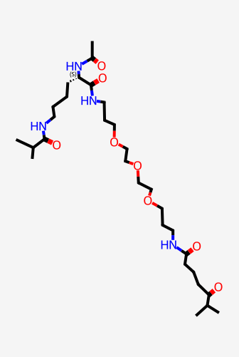 CC(=O)N[C@@H](CCCCNC(=O)C(C)C)C(=O)NCCCOCCOCCOCCCNC(=O)CCCC(=O)C(C)C